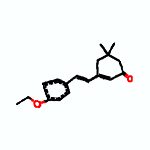 CCOc1ccc(/C=C/C2=CC(=O)CC(C)(C)C2)cc1